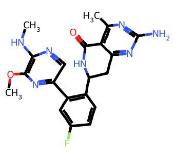 CNc1ncc(-c2cc(F)ccc2C2Cc3nc(N)nc(C)c3C(=O)N2)nc1OC